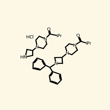 CC(C)C(=O)N1CCN(C2CN(C(c3ccccc3)c3ccccc3)C2)CC1.CC(C)C(=O)N1CCN(C2CNC2)CC1.Cl